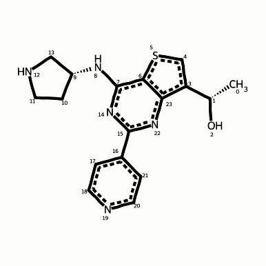 C[C@H](O)c1csc2c(N[C@@H]3CCNC3)nc(-c3ccncc3)nc12